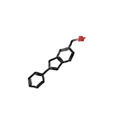 BrCc1ccc2c(c1)CC(c1ccccc1)=C2